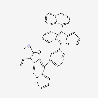 C=Cc1c(/C=C\C)oc2c(-c3cccc(-c4c5ccccc5c(-c5cccc6ccccc56)c5ccccc45)c3)c3ccccc3cc12